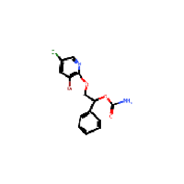 NC(=O)OC(COc1ncc(Cl)cc1Br)c1ccccc1